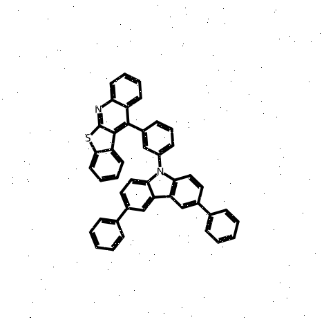 c1ccc(-c2ccc3c(c2)c2cc(-c4ccccc4)ccc2n3-c2cccc(-c3c4ccccc4nc4sc5ccccc5c34)c2)cc1